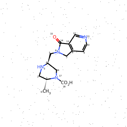 C[C@@H]1CN[C@@H](CN2Cc3ccncc3C2=O)CN1C(=O)O